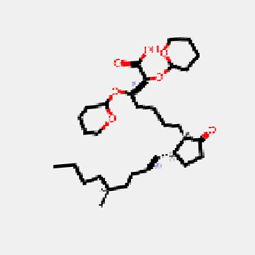 CCCC[C@H](C)CC/C=C/[C@H]1CCC(=O)[C@@H]1CCCC/C(OC1CCCCO1)=C(\OC1CCCCO1)C(=O)O